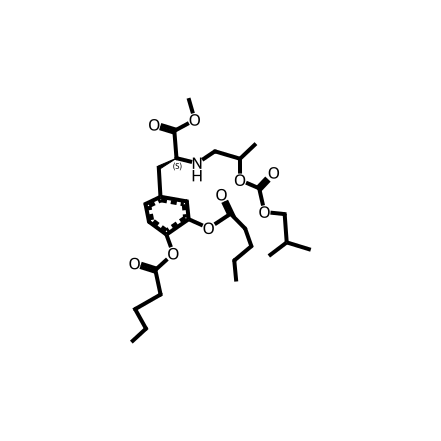 CCCCC(=O)Oc1ccc(C[C@H](NCC(C)OC(=O)OCC(C)C)C(=O)OC)cc1OC(=O)CCCC